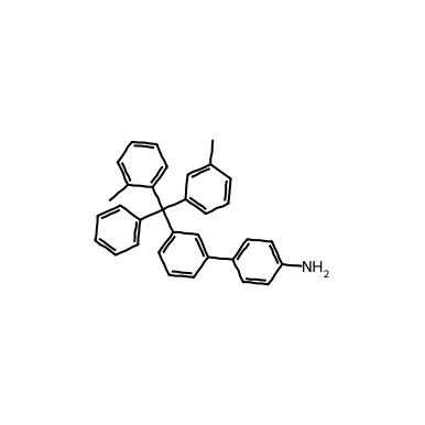 Cc1cccc(C(c2ccccc2)(c2cccc(-c3ccc(N)cc3)c2)c2ccccc2C)c1